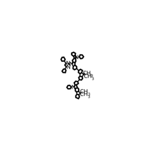 CC1(C)c2ccc(-c3ccc4c(c3)c3cc5c(cc3n4-c3ccccc3)-c3ccccc3C5(C)C)cc2-c2cc(-c3ccc4c(c3)c3cc5c(cc3n4-c3nc(-c4ccccc4)cc(-c4ccccc4)n3)c3ccccc3n5-c3ccccc3)ccc21